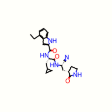 CCc1cccc2[nH]c(C(=O)N[C@@H](CC3CC3)C(=O)N[C@H](C#N)C[C@@H]3CCNC3=O)cc12